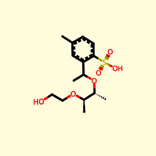 Cc1ccc(S(=O)(=O)O)c(C(C)O[C@H](C)[C@@H](C)OCCO)c1